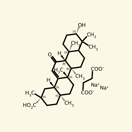 CC1(C)C2CC[C@]3(C)[C@H](C(=O)C=C4[C@H]5C[C@@](C)(C(=O)O)CC[C@]5(C)CC[C@]43C)[C@@]2(C)CC[C@@H]1O.O=C([O-])CCC(=O)[O-].[Na+].[Na+]